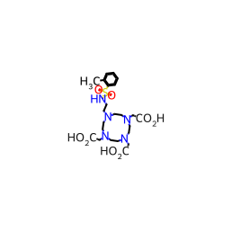 Cc1ccccc1S(=O)(=O)NCCN1CCN(CC(=O)O)CCN(CC(=O)O)CCN(CC(=O)O)CC1